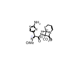 CO/N=C(\C(=O)N[C@]1(C(=O)O)C(=O)N2C=CCS[C@H]21)c1csc(N)n1